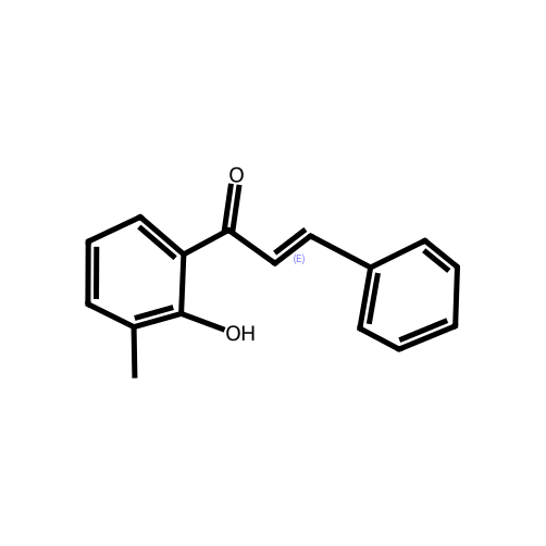 Cc1cccc(C(=O)/C=C/c2ccccc2)c1O